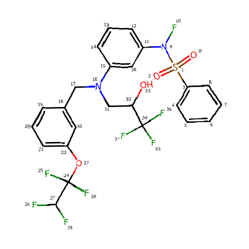 O=S(=O)(c1ccccc1)N(F)c1cccc(N(Cc2cccc(OC(F)(F)C(F)F)c2)CC(O)C(F)(F)F)c1